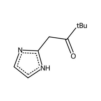 CC(C)(C)C(=O)Cc1ncc[nH]1